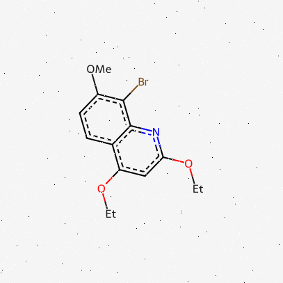 CCOc1cc(OCC)c2ccc(OC)c(Br)c2n1